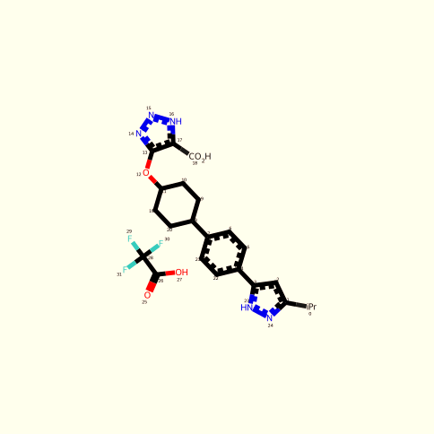 CC(C)c1cc(-c2ccc(C3CCC(Oc4nn[nH]c4C(=O)O)CC3)cc2)[nH]n1.O=C(O)C(F)(F)F